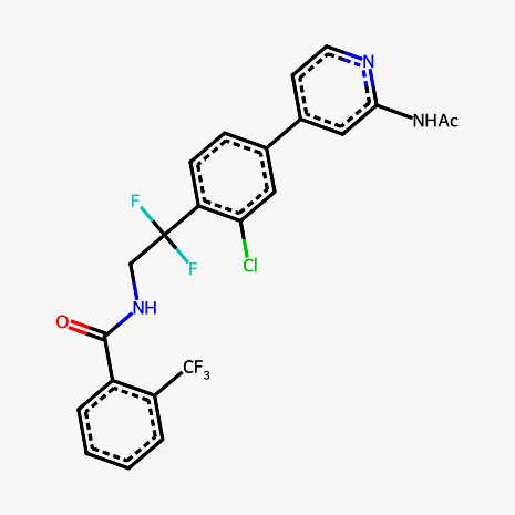 CC(=O)Nc1cc(-c2ccc(C(F)(F)CNC(=O)c3ccccc3C(F)(F)F)c(Cl)c2)ccn1